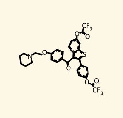 O=C(c1ccc(OCCN2CCCCC2)cc1)c1c(-c2ccc(OC(=O)C(F)(F)F)cc2)sc2cc(OC(=O)C(F)(F)F)ccc12